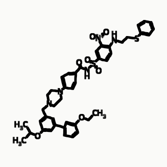 CCOc1cccc(-c2cc(CN3CCN(c4ccc(C(=O)NS(=O)(=O)c5ccc(NCCSc6ccccc6)c([N+](=O)[O-])c5)cc4)CC3)cc(OC(C)C)c2)c1